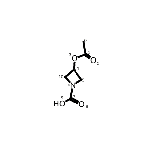 CC(=O)OC1CN(C(=O)O)C1